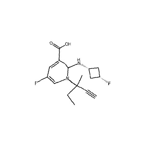 C#CC(C)(CC)N1C=C(F)C=C(C(=O)O)C1N[C@H]1C[C@@H](F)C1